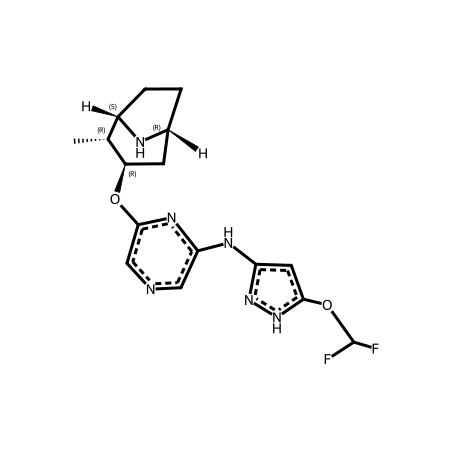 C[C@@H]1[C@@H]2CC[C@H](C[C@H]1Oc1cncc(Nc3cc(OC(F)F)[nH]n3)n1)N2